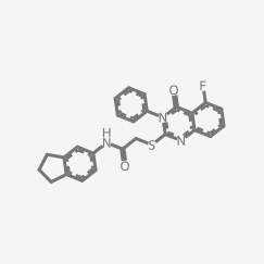 O=C(CSc1nc2cccc(F)c2c(=O)n1-c1ccccc1)Nc1ccc2c(c1)CCC2